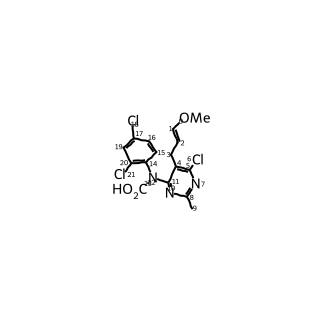 COC=CCc1c(Cl)nc(C)nc1N(C(=O)O)c1ccc(Cl)cc1Cl